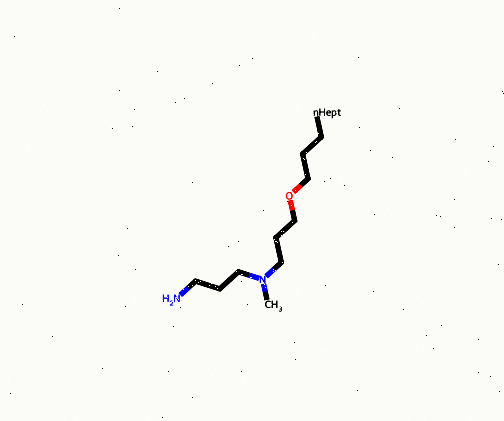 CCCCCCCCCCOCCCN(C)CCCN